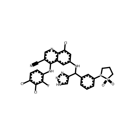 N#Cc1cnc2c(Cl)cc(NC(c3cccc(N4CCCS4(=O)=O)c3)c3c[nH]nn3)cc2c1Nc1ccc(Cl)c(Cl)c1F